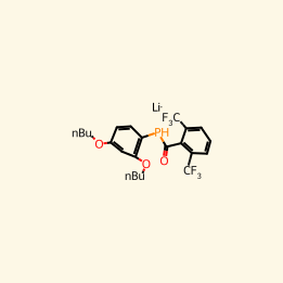 CCCCOc1ccc(PC(=O)c2c(C(F)(F)F)cccc2C(F)(F)F)c(OCCCC)c1.[Li]